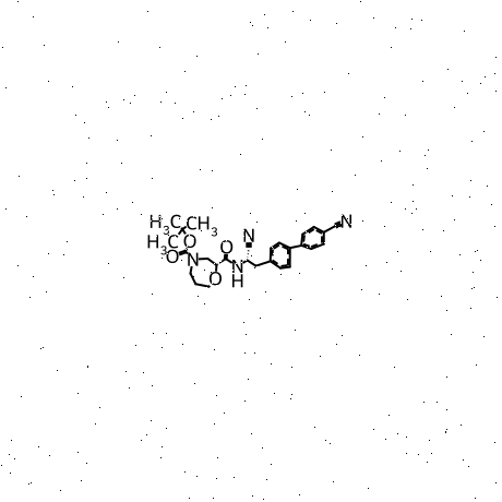 CC(C)(C)OC(=O)N1CCCO[C@H](C(=O)N[C@H](C#N)Cc2ccc(-c3ccc(C#N)cc3)cc2)C1